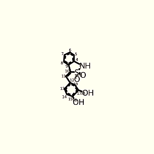 O=S1(=O)Nc2ccccc2C1=Cc1ccc(O)c(O)c1